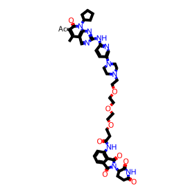 CC(=O)c1c(C)c2cnc(Nc3ccc(N4CCN(CCOCCOCCOCCC(=O)Nc5cccc6c5C(=O)N(C5CCC(=O)NC5=O)C6=O)CC4)cn3)nc2n(C2CCCC2)c1=O